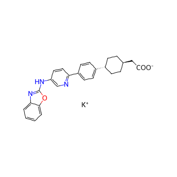 O=C([O-])C[C@H]1CC[C@H](c2ccc(-c3ccc(Nc4nc5ccccc5o4)cn3)cc2)CC1.[K+]